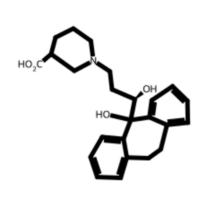 O=C(O)C1CCCN(CC[C@@H](O)C2(O)c3ccccc3CCc3ccccc32)C1